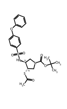 CC(=O)S[C@H]1CN(C(=O)OC(C)(C)C)C[C@@H]1NS(=O)(=O)c1ccc(Oc2ccccc2)cc1